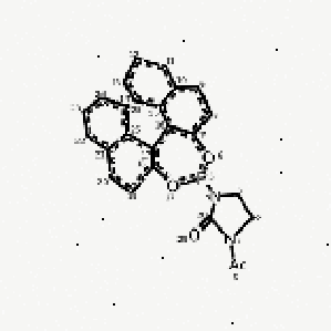 CC(=O)N1CCN(p2oc3ccc4ccccc4c3c3c(ccc4ccccc43)o2)C1=O